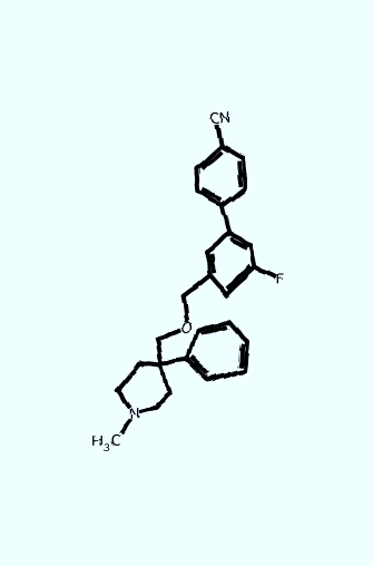 CN1CCC(COCc2cc(F)cc(-c3ccc(C#N)cc3)c2)(c2ccccc2)CC1